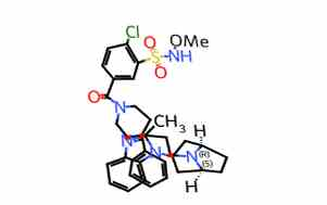 CONS(=O)(=O)c1cc(C(=O)N2CCC(CCN3[C@@H]4CC[C@H]3CC(n3c(C)nc5ccccc53)C4)(c3ccccc3)CC2)ccc1Cl